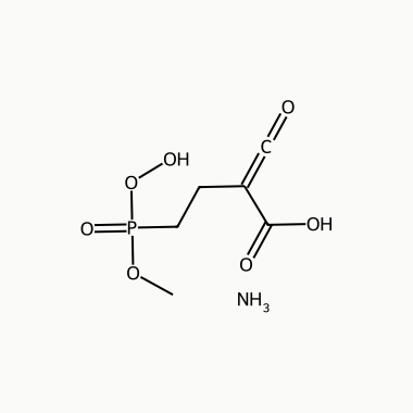 COP(=O)(CCC(=C=O)C(=O)O)OO.N